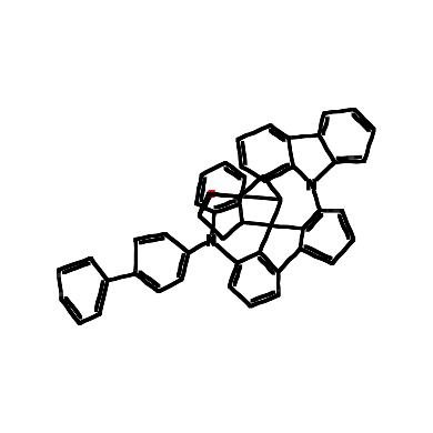 c1ccc(-c2ccc(N(c3ccccc3)c3cccc4c3C3(c5c-4cccc5-n4c5ccccc5c5ccccc54)C4CC5CC(C4)C3C5)cc2)cc1